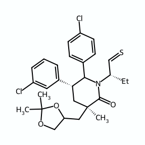 CC[C@@H](C=S)N1C(=O)[C@@](C)(CC2COC(C)(C)O2)C[C@H](c2cccc(Cl)c2)C1c1ccc(Cl)cc1